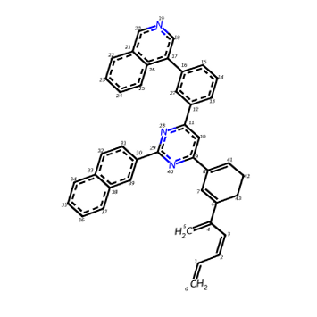 C=C/C=C\C(=C)C1=CC(c2cc(-c3cccc(-c4cncc5ccccc45)c3)nc(-c3ccc4ccccc4c3)n2)=CCC1